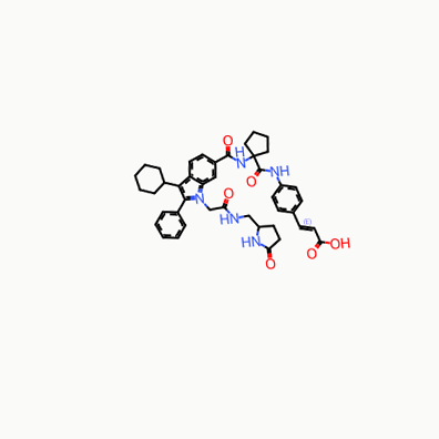 O=C(O)/C=C/c1ccc(NC(=O)C2(NC(=O)c3ccc4c(C5CCCCC5)c(-c5ccccc5)n(CC(=O)NCC5CCC(=O)N5)c4c3)CCCC2)cc1